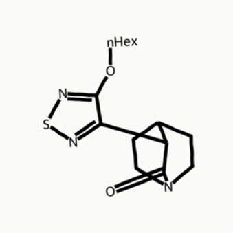 CCCCCCOc1nsnc1C1C(=O)N2CCC1CC2